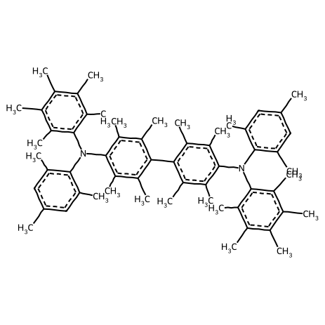 Cc1cc(C)c(N(c2c(C)c(C)c(C)c(C)c2C)c2c(C)c(C)c(-c3c(C)c(C)c(N(c4c(C)cc(C)cc4C)c4c(C)c(C)c(C)c(C)c4C)c(C)c3C)c(C)c2C)c(C)c1